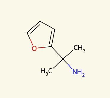 CC(C)(N)c1cc[c]o1